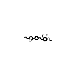 CCCC1CCC(c2ccc(CCc3ccc(OCC)c(F)c3F)cc2)=CO1